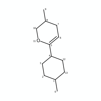 CC1CCC(C2=CCC(C)CO2)CC1